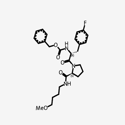 COCCCCNC(=O)[C@@H]1CCCN1C(=O)[C@@H](Cc1ccc(F)cc1)NC(=O)OCc1ccccc1